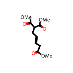 COC(=O)CC=CCC(C(=O)OC)C(=O)OC